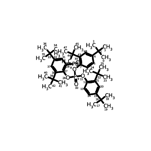 CC(C)(C)c1ccc(OP(=O)(Oc2ccc(C(C)(C)C)cc2C(C)(C)C)Oc2[c]([Pd][Cl])cc(C(C)(C)C)cc2C(C)(C)C)c(C(C)(C)C)c1